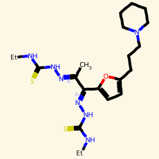 CCNC(=S)N/N=C(/C(C)=N/NC(=S)NCC)c1ccc(CCCN2CCCCC2)o1